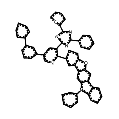 c1ccc(-c2cccc(-c3cnc(-c4ccc5oc6cc7c8ccccc8n(-c8ccccc8)c7cc6c5c4)c(-c4nc(-c5ccccc5)nc(-c5ccccc5)n4)c3)c2)cc1